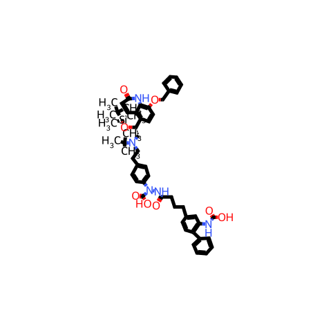 CC(C)(C)N(CCc1ccc(N(NC(=O)CCCc2ccc(-c3ccccc3)c(NC(=O)O)c2)C(=O)O)cc1)C[C@H](O[Si](C)(C)C(C)(C)C)c1ccc(OCc2ccccc2)c2[nH]c(=O)ccc12